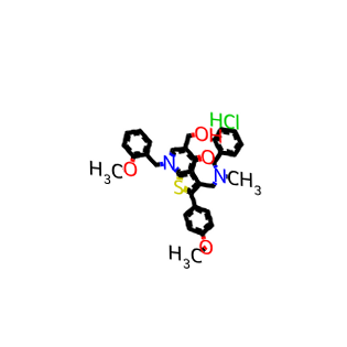 COc1ccc(-c2sc3c(c2CN(C)Cc2ccccc2)c(=O)c(CO)cn3Cc2ccccc2OC)cc1.Cl